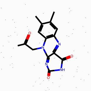 CC(=O)Cn1c2nc(=O)[nH]c(=O)c-2nc2cc(C)c(C)cc21